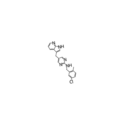 Cc1ccc(Cl)cc1CNc1ncc(Cc2c[nH]c3ncccc23)cn1